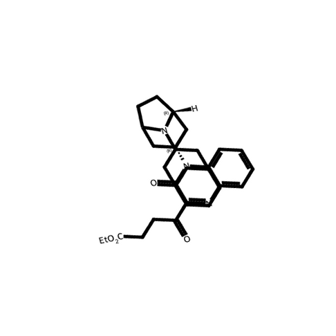 CCOC(=O)CCC(=O)c1nc2ccccc2n([C@@H]2CC3CC[C@H](C2)N3C2CC3CCCC(C3)C2)c1=O